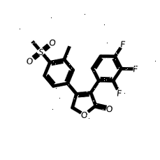 Cc1cc(C2=C(c3ccc(F)c(F)c3F)C(=O)OC2)ccc1S(C)(=O)=O